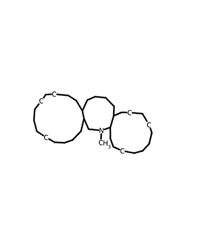 CN1CC2CCCCCCCCCCCCCC2CCCCC2CCCCCCCCCCCC21